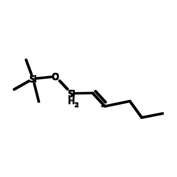 CCC/[C]=C/[SiH2]O[Si](C)(C)C